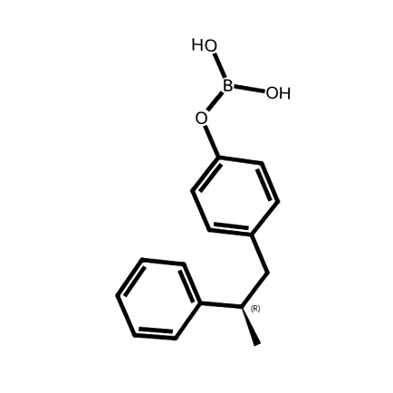 C[C@H](Cc1ccc(OB(O)O)cc1)c1ccccc1